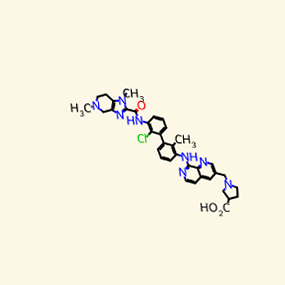 Cc1c(Nc2nccc3cc(CN4CCC(C(=O)O)C4)cnc23)cccc1-c1cccc(NC(=O)c2nc3c(n2C)CCN(C)C3)c1Cl